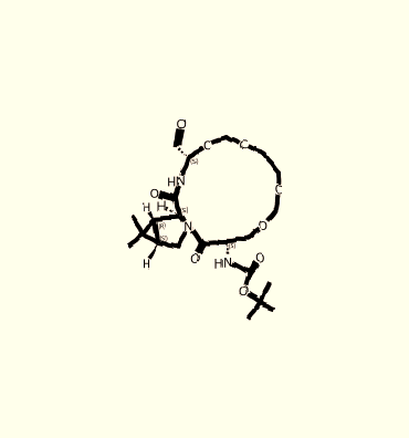 CC(C)(C)OC(=O)N[C@H]1COCCCCCCC[C@@H](C=O)NC(=O)[C@@H]2[C@@H]3[C@H](CN2C1=O)C3(C)C